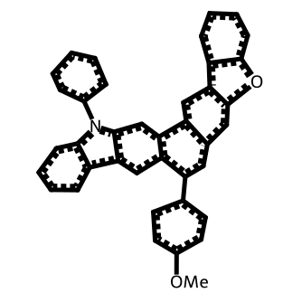 COc1ccc(-c2cc3cc4oc5ccccc5c4cc3c3cc4c(cc23)c2ccccc2n4-c2ccccc2)cc1